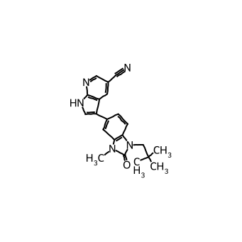 Cn1c(=O)n(CC(C)(C)C)c2ccc(-c3c[nH]c4ncc(C#N)cc34)cc21